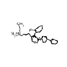 CCCN(C)CCCCc1cnn(-c2ccc(-c3ccccc3)cc2)c1-c1ccccc1F